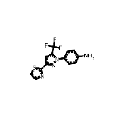 Nc1ccc(-n2nc(-c3nccs3)cc2C(F)(F)F)cc1